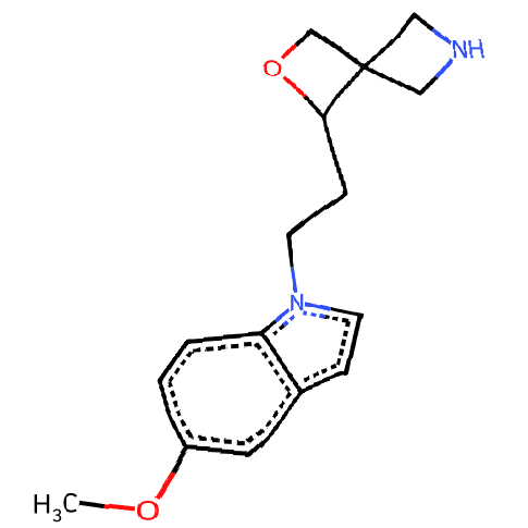 COc1ccc2c(ccn2CCC2OCC23CNC3)c1